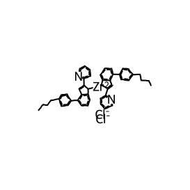 CCCCc1ccc(-c2cccc3c2C=C(c2ccccn2)[CH]3[Zr+2][CH]2C(c3ccccn3)=Cc3c(-c4ccc(CCCC)cc4)cccc32)cc1.[Cl-].[Cl-]